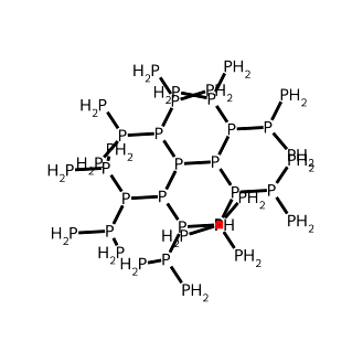 PPP(P(P)P)P(P(P(P)P)P(P)P)P(P(P(P)P)P(P)P)P(P(P(P)P)P(P)P)P(P(P)P)P(P)P